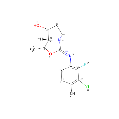 N#Cc1ccc(/N=C2\OC(C(F)(F)F)[C@@H]3C(O)CCN23)c(F)c1Cl